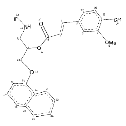 COc1cc(/C=C/C(=O)OC(CNC(C)C)COc2cccc3ccccc23)ccc1O